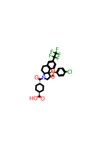 O=C(O)[C@H]1CC[C@H](C(=O)N2CCC3(S(=O)(=O)c4ccc(Cl)cc4)c4ccc(C(F)(F)C(F)(F)F)cc4CCC23)CC1